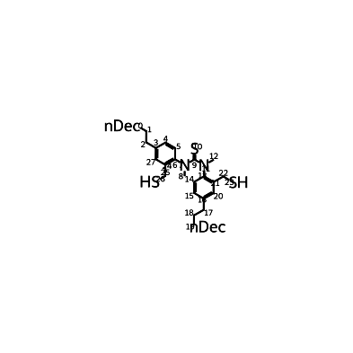 CCCCCCCCCCCCc1ccc(N(C)C(=S)N(C)c2ccc(CCCCCCCCCCCC)cc2CS)c(CS)c1